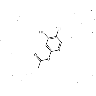 CC(=O)Oc1cc(O)c(Cl)cn1